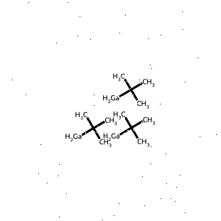 C[C](C)(C)[GaH2].C[C](C)(C)[GaH2].C[C](C)(C)[GaH2]